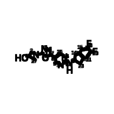 OC1CN(c2nnc(-c3cnc(NC4Cc5cc(F)c(F)cc5C4)nc3)o2)C1